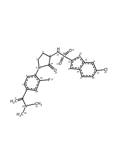 C=C(c1ccc(N2CCC(NS(=O)(=O)c3cc4ccc(Cl)cc4s3)C2=O)c(F)c1)N(C)C